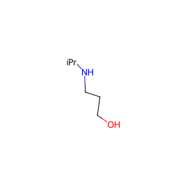 CC(C)NCCCO